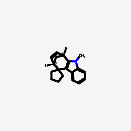 Cn1c2c(c3ccccc31)C1(CCCC1)[C@@H]1C=C[C@H]2C1